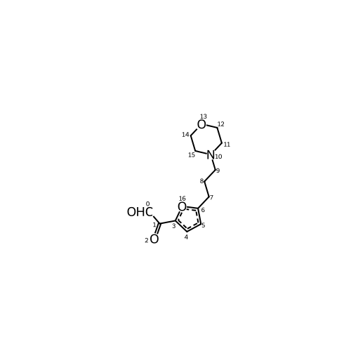 O=CC(=O)c1ccc(CCCN2CCOCC2)o1